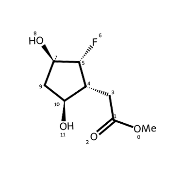 COC(=O)C[C@H]1[C@@H](F)[C@H](O)C[C@@H]1O